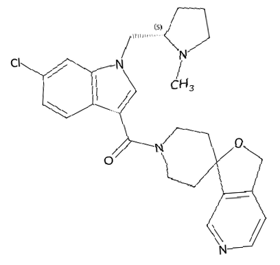 CN1CCC[C@H]1Cn1cc(C(=O)N2CCC3(CC2)OCc2ccncc23)c2ccc(Cl)cc21